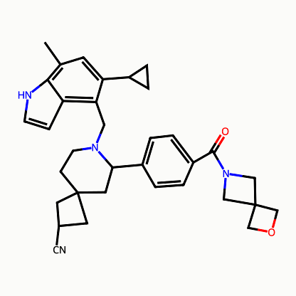 Cc1cc(C2CC2)c(CN2CCC3(CC(C#N)C3)CC2c2ccc(C(=O)N3CC4(COC4)C3)cc2)c2cc[nH]c12